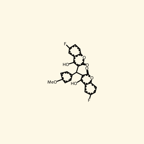 COc1ccc(C(c2c(O)c3cc(F)ccc3oc2=O)c2c(O)c3cc(F)ccc3oc2=O)cc1